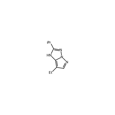 CCc1cnn2nc(C(C)C)[nH]c12